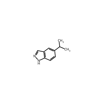 CC(C)c1ccc2[nH]ncc2c1